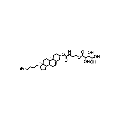 CC(C)CCCC[C@H]1CCC2C3CC=C4C[C@@H](OC(=O)NCCOC(=O)[C@@H](O)[C@H](O)C(O)O)CC[C@]4(C)C3CC[C@@]21C